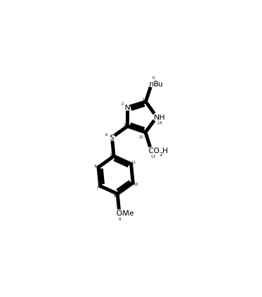 CCCCc1nc(Sc2ccc(OC)cc2)c(C(=O)O)[nH]1